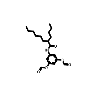 CCCCCCC(CCCC)C(=O)Nc1cc(OC=O)cc(OC=O)c1